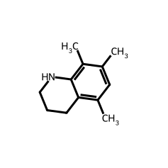 Cc1cc(C)c2c(c1C)NCCC2